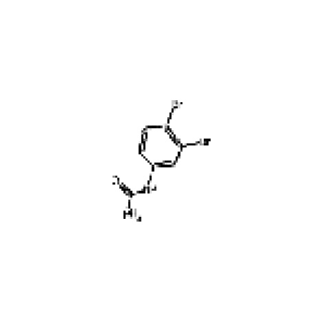 NC(=O)Nc1ccc(Br)c(Br)c1